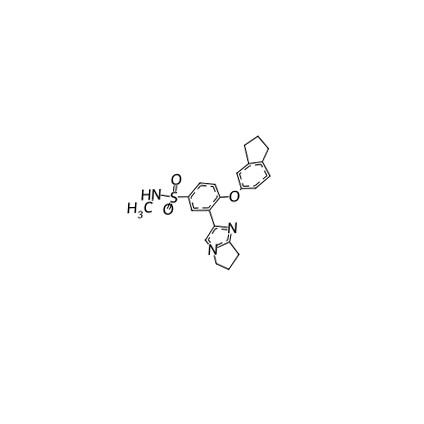 CNS(=O)(=O)c1ccc(Oc2ccc3c(c2)CCC3)c(-c2cn3c(n2)CCC3)c1